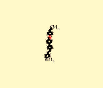 CCCc1ccc(OCC2C=CC(c3ccc(CCC4CCC(C)CC4)cc3)CC2)cc1